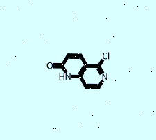 O=c1ccc2c(Cl)nccc2[nH]1